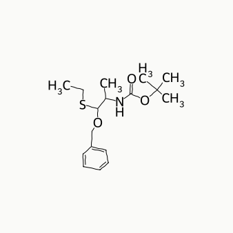 CCSC(OCc1ccccc1)C(C)NC(=O)OC(C)(C)C